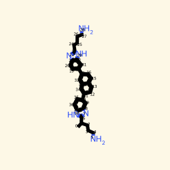 CC(CCCN)c1nc2cc(-c3ccc4ccc(-c5ccc6nc(CCCCN)[nH]c6c5)cc4c3)ccc2[nH]1